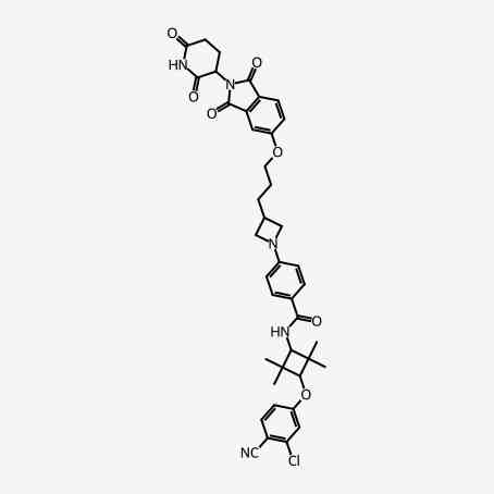 CC1(C)C(NC(=O)c2ccc(N3CC(CCCOc4ccc5c(c4)C(=O)N(C4CCC(=O)NC4=O)C5=O)C3)cc2)C(C)(C)C1Oc1ccc(C#N)c(Cl)c1